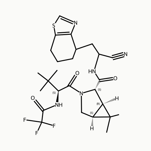 CC(C)(C)[C@H](NC(=O)C(F)(F)F)C(=O)N1C[C@H]2[C@@H]([C@H]1C(=O)NC(C#N)CC1CCCc3scnc31)C2(C)C